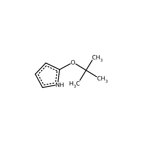 CC(C)(C)Oc1ccc[nH]1